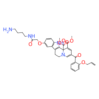 C=CCOc1ccccc1C(=O)C1=CN2CCc3c([nH]c4ccc(OCC(=O)NCCCCN)cc34)C2(C(=O)OC)C(C(=O)OC)=C1